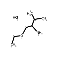 CCOCC(N)C(C)C.Cl